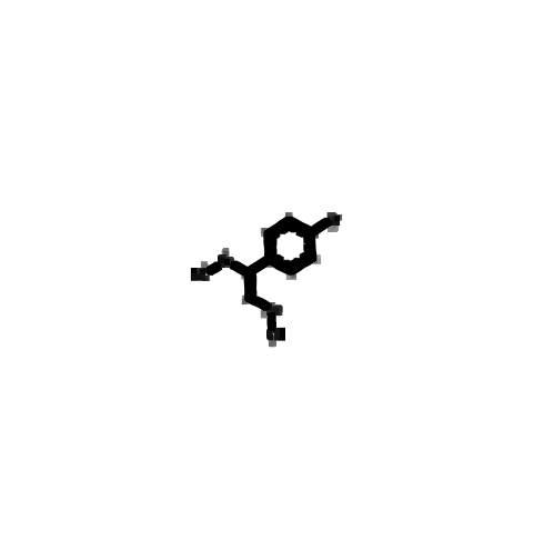 N#C[Se]/C=C(/[Se]C#N)c1ccc(Br)cc1